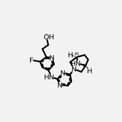 OCCc1ncc(Nc2nccc(N3C[C@H]4CC[C@@H](C3)N4)n2)cc1F